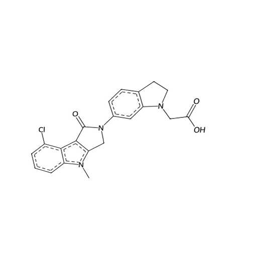 Cn1c2c(c3c(Cl)cccc31)C(=O)N(c1ccc3c(c1)N(CC(=O)O)CC3)C2